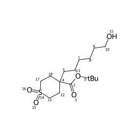 CC(C)(C)OC(=O)C1(CCCCCCO)CCS(=O)(=O)CC1